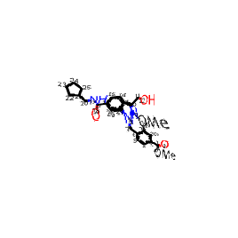 COC(=O)c1ccc(Cn2nc(CO)c3ccc(C(=O)NCC4CCCC4)cc32)c(OC)c1